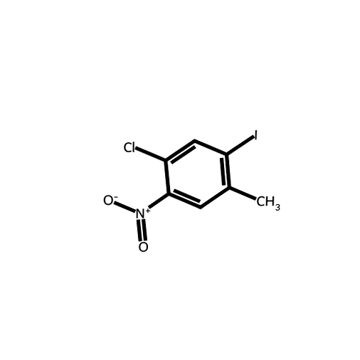 Cc1cc([N+](=O)[O-])c(Cl)cc1I